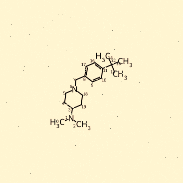 CN(C)C1CCN(Cc2ccc(C(C)(C)C)cc2)CC1